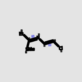 CC/C(=N/C=C/Cl)SC